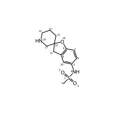 CS(=O)(=O)Nc1ccc2c(c1)CC1(CCCNC1)O2